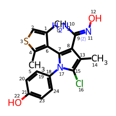 Cc1csc(C)c1-c1c(/C(N)=N/O)c(C)c(Cl)n1-c1ccc(O)cc1